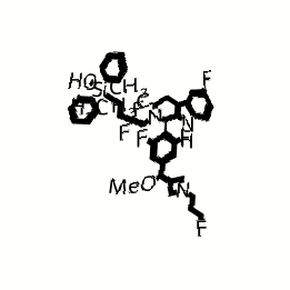 COC(c1cc(F)c([C@@H]2c3[nH]c4ccc(F)cc4c3C[C@@H](C)N2CC(F)(F)CCC(C)(C)[Si](O)(c2ccccc2)c2ccccc2)c(F)c1)C1CN(CCCF)C1